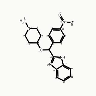 CN1CCC(OC(c2ccc([N+](=O)[O-])cc2)c2nc3ccccc3[nH]2)CC1